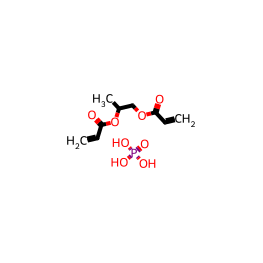 C=CC(=O)OCC(C)OC(=O)C=C.O=P(O)(O)O